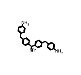 CCCC(c1ccc(Cc2ccc(N)cc2)cc1)c1ccc(Cc2ccc(N)cc2)cc1